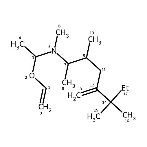 C=COC(C)N(C)C(C)C(C)CC(=C)C(C)(C)CC